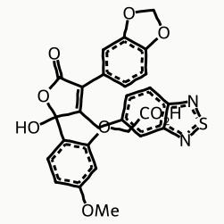 COc1ccc(C2(O)OC(=O)C(c3ccc4c(c3)OCO4)=C2Cc2ccc3nsnc3c2)c(OCC(=O)O)c1